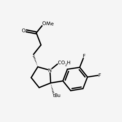 COC(=O)CC[C@H]1CC[C@@](c2ccc(F)c(F)c2)(C(C)(C)C)N1C(=O)O